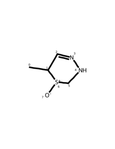 CC1C=NNC[S+]1[O-]